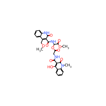 COCc1c(C(=O)NC(OC(=O)CNC(=O)c2c(O)c3ccccc3n(C)c2=O)C(=O)OC)c(=O)[nH]c2ccccc12